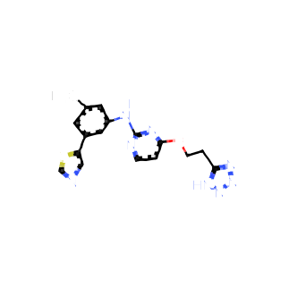 Cc1cc(Nc2nccc(OCCc3nnn[nH]3)n2)cc(-c2cn[c]s2)c1